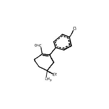 CCC1(C)CCC(C=O)=C(c2ccc(Cl)cc2)C1